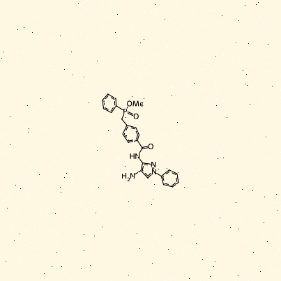 COP(=O)(Cc1ccc(C(=O)Nc2nn(-c3ccccc3)cc2N)cc1)c1ccccc1